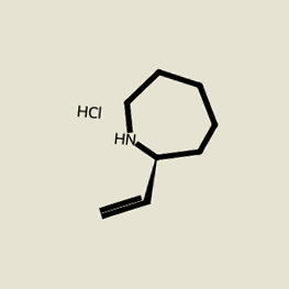 C=C[C@@H]1CCCCCN1.Cl